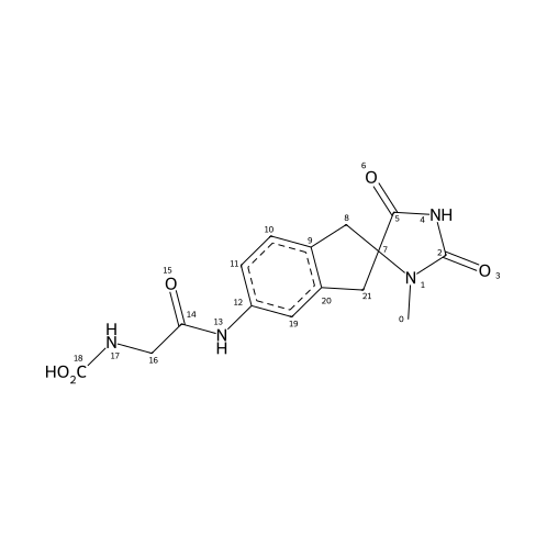 CN1C(=O)NC(=O)C12Cc1ccc(NC(=O)CNC(=O)O)cc1C2